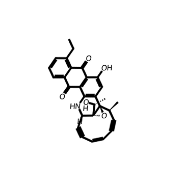 CCc1cccc2c1C(=O)c1c(O)cc3c(c1C2=O)N[C@H]1C#C/C=C\C#C[C@H](C)[C@@]32O[C@@]12[C@@H](C)O